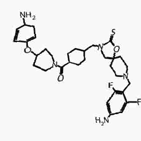 Nc1cc(F)c(CN2CCC3(CC2)CN(CC2CCC(C(=O)N4CCC(OC5=CCC(N)C=C5)CC4)CC2)C(=S)O3)c(F)c1